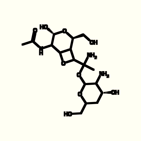 CC(=O)NC1C2OC(C(C)(N)OC3OC(CO)C[C@@H](O)C3N)C2[C@H](CO)O[C@H]1O